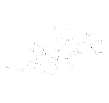 COC1CC(c2cccc(N3Cc4c(cc([C@H](N)C(C)(C)C)cc4C(F)(F)F)C3=O)c2)(c2nncn2C)C1